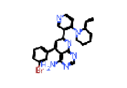 C=CC1CCCCN1c1ccncc1-c1cc(-c2cccc(Br)c2)c2c(N)ncnc2n1